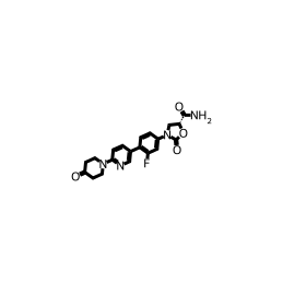 NC(=O)[C@H]1CN(c2ccc(-c3ccc(N4CCC(=O)CC4)nc3)c(F)c2)C(=O)O1